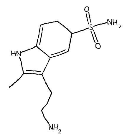 Cc1[nH]c2c(c1CCN)=CC(S(N)(=O)=O)CC=2